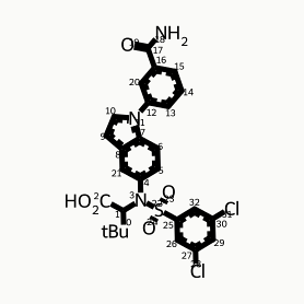 CC(C)(C)C(C(=O)O)N(c1ccc2c(ccn2-c2cccc(C(N)=O)c2)c1)S(=O)(=O)c1cc(Cl)cc(Cl)c1